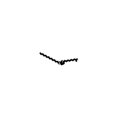 CCCCCCCCCCCCCCn1cc[n+](CCCCCCCC(C)C)c1